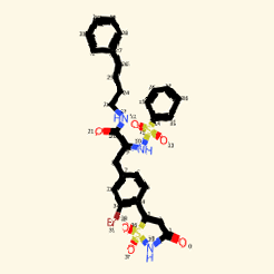 O=C1CC(c2ccc(CC(NS(=O)(=O)c3ccccc3)C(=O)NCCCCc3ccccc3)cc2Br)S(=O)(=O)N1